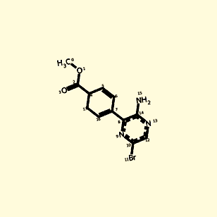 COC(=O)C1C=CC(c2nc(Br)cnc2N)=CC1